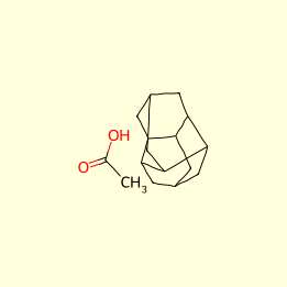 C1C2CC3C4CC5CC(C14)C(C2)C3C5.CC(=O)O